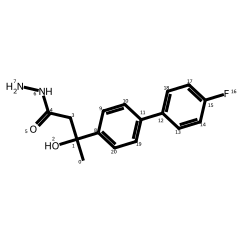 CC(O)(CC(=O)NN)c1ccc(-c2ccc(F)cc2)cc1